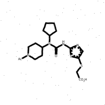 CC(=O)N1CCC(N(C(=O)Nc2ncc(SCC(=O)O)s2)C2CCCC2)CC1